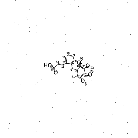 COc1c(C)c(Cc2ccccc2C=CC(=O)O)c(OC)c(OC)c1OC